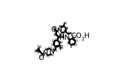 Cc1cc(C(C)Nc2ccccc2C(=O)O)c2nc(-c3ccc(CN4CCN(C(=O)C5CC5)CC4)c(F)c3)cc(=O)n2c1